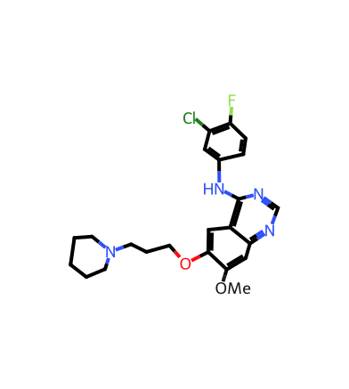 COc1cc2ncnc(Nc3ccc(F)c(Cl)c3)c2cc1OCCCN1CCCCC1